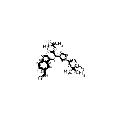 CC(C)(C)OC(=O)[C@@H](Cc1csc2ccc(C=O)cc12)[C@H]1CCN(C(=O)OC(C)(C)C)C1